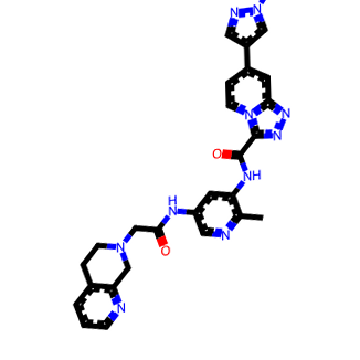 Cc1ncc(NC(=O)CN2CCc3cccnc3C2)cc1NC(=O)c1nnc2cc(-c3cnn(C)c3)ccn12